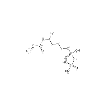 [2H]C(CCCOP(=O)(O)OP(=O)(O)O)OC(=O)C=C